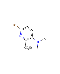 CCOC(=O)c1nc(Br)ccc1N(C)C(C)=O